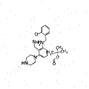 CC(C)(C)OC=O.NCc1c(NCc2ccccc2Cl)cccc1N1CCNCC1